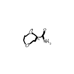 NC(=O)[C@H]1COCCO1